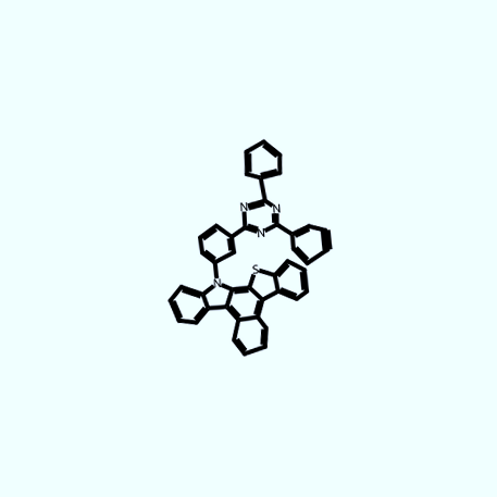 c1ccc(-c2nc(-c3ccccc3)nc(-c3cccc(-n4c5ccccc5c5c6ccccc6c6c7ccccc7sc6c54)c3)n2)cc#1